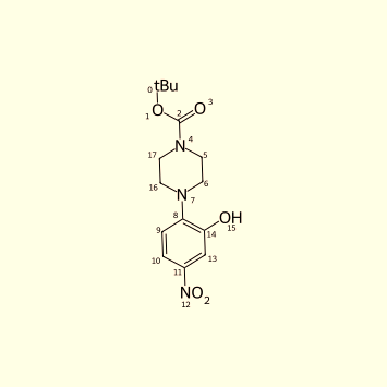 CC(C)(C)OC(=O)N1CCN(c2ccc([N+](=O)[O-])cc2O)CC1